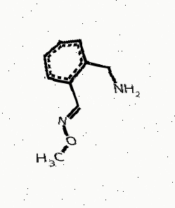 CON=Cc1[c]cccc1CN